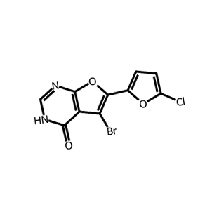 O=c1[nH]cnc2oc(-c3ccc(Cl)o3)c(Br)c12